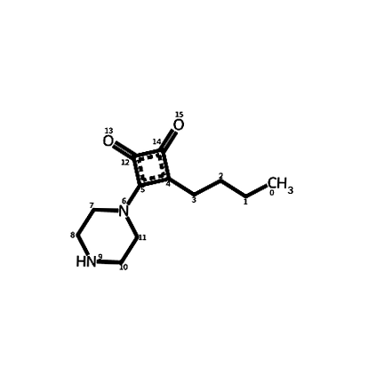 CCCCc1c(N2CCNCC2)c(=O)c1=O